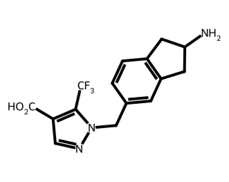 NC1Cc2ccc(Cn3ncc(C(=O)O)c3C(F)(F)F)cc2C1